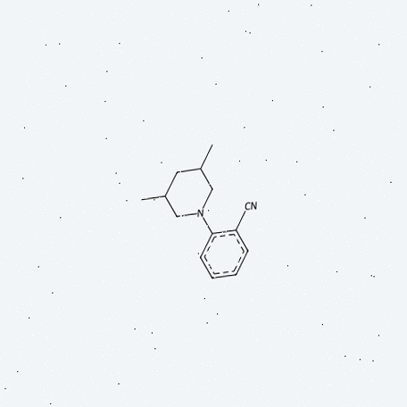 CC1CC(C)CN(c2ccccc2C#N)C1